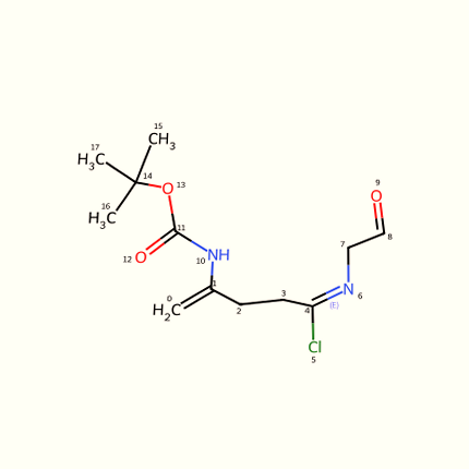 C=C(CC/C(Cl)=N\CC=O)NC(=O)OC(C)(C)C